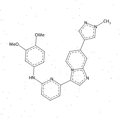 COc1ccc(Nc2cccc(-c3cnc4cc(-c5cnn(C)c5)ccn34)n2)cc1OC